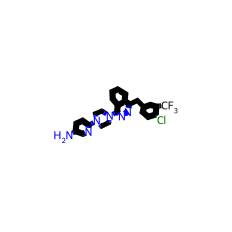 Nc1ccc(N2CCN(c3nnc(Cc4ccc(Cl)c(C(F)(F)F)c4)c4ccccc34)CC2)nc1